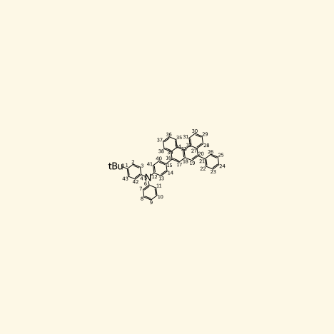 CC(C)(C)c1ccc(N(c2ccccc2)c2ccc(-c3cc4cc(-c5ccccc5)c5ccccc5c4c4ccccc34)cc2)cc1